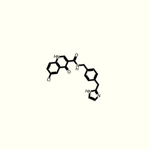 O=C(NCc1ccc(Cc2ncc[nH]2)cc1)c1c[nH]c2ccc(Cl)cc2c1=O